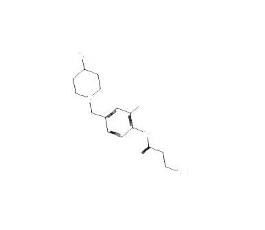 NCCC(=O)Nc1ccc(CN2CCC(N)CC2)cc1F